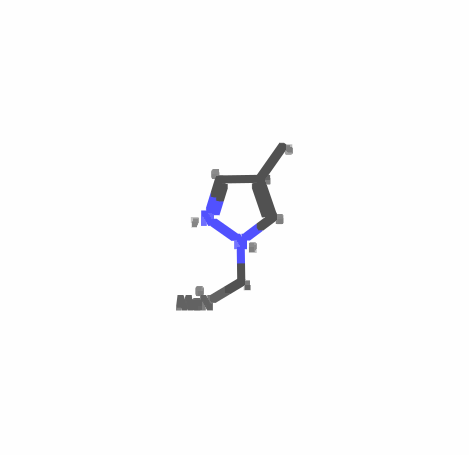 CNCn1cc(C)cn1